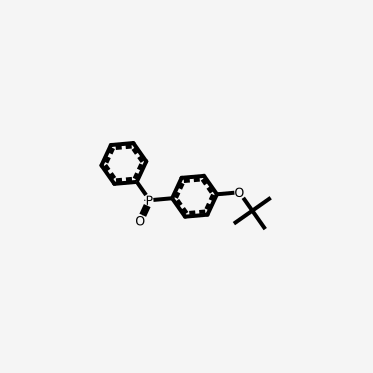 CC(C)(C)Oc1ccc([P](=O)c2ccccc2)cc1